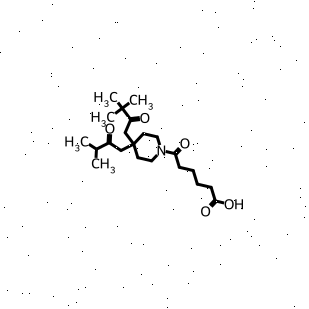 CC(C)C(=O)CC1(CC(=O)C(C)(C)C)CCN(C(=O)CCCCC(=O)O)CC1